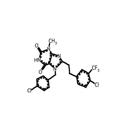 Cn1c(=O)[nH]c(=O)c2c1nc(CCc1ccc(Cl)c(C(F)(F)F)c1)n2Cc1ccc(Cl)cc1